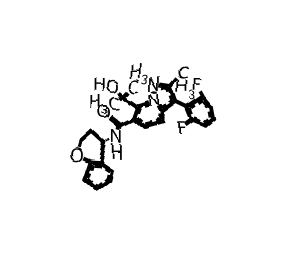 Cc1nn2c(C(C)(C)O)c(C(=O)N[C@H]3CCOc4ccccc43)ccc2c1-c1c(F)cccc1F